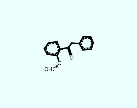 O=[C]Oc1ccccc1C(=O)Cc1ccccc1